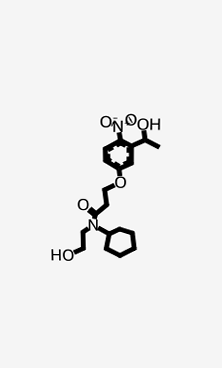 CC(O)c1cc(OCCC(=O)N(CCO)C2CCCCC2)ccc1[N+](=O)[O-]